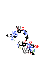 CNc1nc(Nc2ccc(C(=O)N3CCN(CC4CC(COc5cc(-c6scnc6C)ccc5CNC(=O)[C@@H]5C[C@@H](O)CN5C(=O)[C@@H](NC(=O)C5(F)CC5)C(C)(C)C)C4)CC3)cc2OC)ncc1Cl